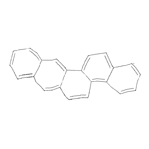 [c]1cccc2c1ccc1c3cc4ccccc4cc3ccc21